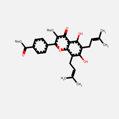 COC(=O)c1ccc(-c2oc3c(CC=C(C)C)c(O)c(CC=C(C)C)c(O)c3c(=O)c2OC)cc1